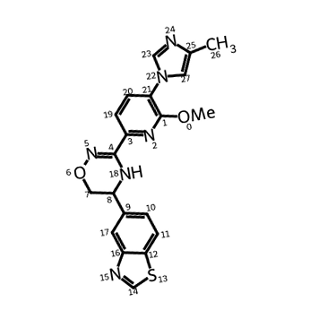 COc1nc(C2=NOCC(c3ccc4scnc4c3)N2)ccc1-n1cnc(C)c1